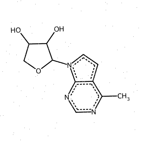 Cc1ncnc2c1ccn2C1OCC(O)C1O